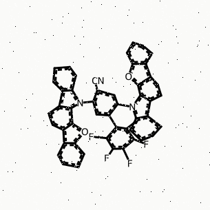 N#Cc1cc(-n2c3ccccc3c3ccc4c5ccccc5oc4c32)c(-c2c(F)c(F)c(F)c(F)c2F)cc1-n1c2ccccc2c2ccc3c4ccccc4oc3c21